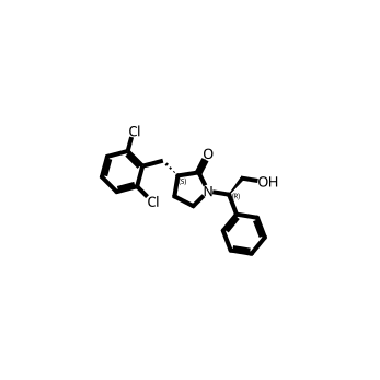 O=C1[C@@H](Cc2c(Cl)cccc2Cl)CCN1[C@@H](CO)c1ccccc1